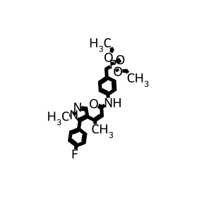 CCOP(=O)(Cc1ccc(NC(=O)/C=C(/C)c2cnn(C)c2-c2ccc(F)cc2)cc1)OCC